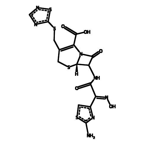 Nc1nc(C(=NO)C(=O)NC2C(=O)N3C(C(=O)O)=C(CSc4ncns4)CS[C@@H]23)cs1